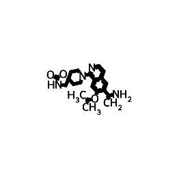 C=C(N)c1cc2ccnc(N3CCC4(CC3)CNC(=O)O4)c2cc1OC(C)C